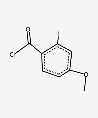 COc1ccc(C(=O)Cl)c(I)c1